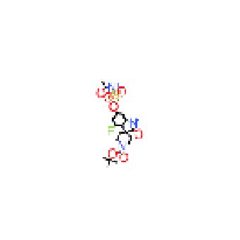 CC(=O)NS(=O)(=O)COc1cc(F)c2c(c1)N(C)C(=O)C21CCN(C(=O)OC(C)(C)C)CC1